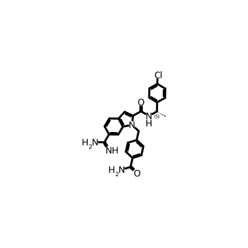 C[C@H](NC(=O)c1cc2ccc(C(=N)N)cc2n1Cc1ccc(C(N)=O)cc1)c1ccc(Cl)cc1